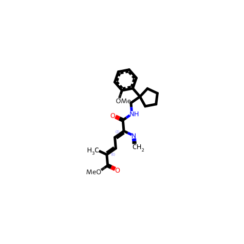 C=N/C(=C\C=C(/C)C(=O)OC)C(=O)NCC1(c2ccccc2OC)CCCC1